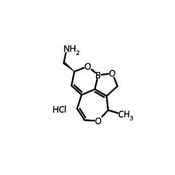 CC1OC=CC2=C[C@@H](CN)OB3OCC1=C32.Cl